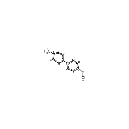 FC(F)(F)c1ccc(-c2ccc(CCl)cn2)cc1